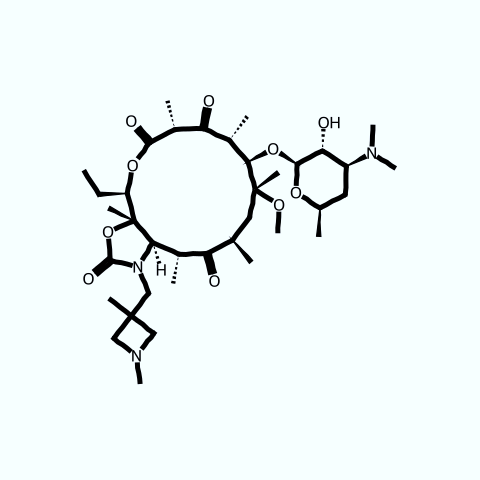 CC[C@H]1OC(=O)[C@H](C)C(=O)[C@H](C)[C@@H](O[C@@H]2O[C@H](C)C[C@H](N(C)C)[C@H]2O)[C@](C)(OC)C[C@@H](C)C(=O)[C@H](C)[C@H]2N(CC3(C)CN(C)C3)C(=O)O[C@]12C